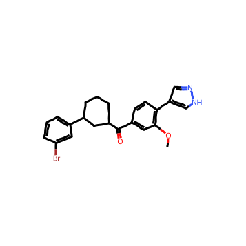 COc1cc(C(=O)C2CCCC(c3cccc(Br)c3)C2)ccc1-c1cn[nH]c1